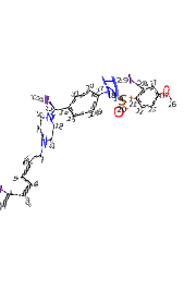 C=C(I)/C=C\C=C/CN1CCN([C@@H](I)c2ccc(N[S+]([O-])c3ccc(OC)cc3I)cc2)CC1